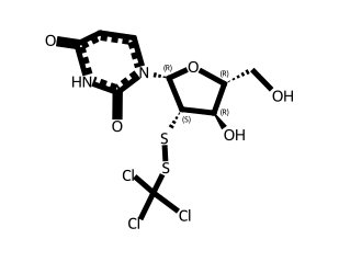 O=c1ccn([C@@H]2O[C@H](CO)[C@@H](O)[C@@H]2SSC(Cl)(Cl)Cl)c(=O)[nH]1